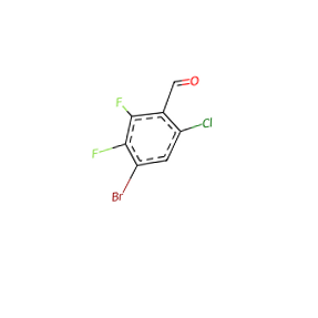 O=Cc1c(Cl)cc(Br)c(F)c1F